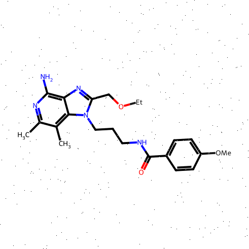 CCOCc1nc2c(N)nc(C)c(C)c2n1CCCNC(=O)c1ccc(OC)cc1